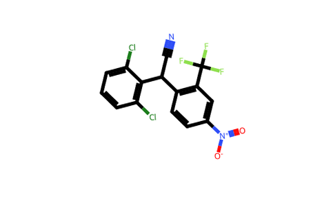 N#CC(c1ccc([N+](=O)[O-])cc1C(F)(F)F)c1c(Cl)cccc1Cl